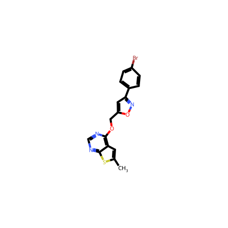 Cc1cc2c(OCc3cc(-c4ccc(Br)cc4)no3)ncnc2s1